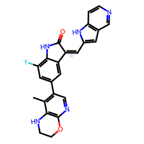 Cc1c(-c2cc(F)c3c(c2)/C(=C/c2cc4cnccc4[nH]2)C(=O)N3)cnc2c1NCCO2